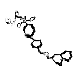 CC(C)[C@@H](NS(=O)(=O)c1ccc(-c2ccc(COCc3ccc4ccccc4c3)cc2)cc1)C(=O)O